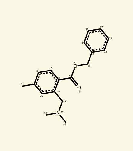 Cc1ccc(C(=O)OCc2ccccc2)c(CN(C)C)c1